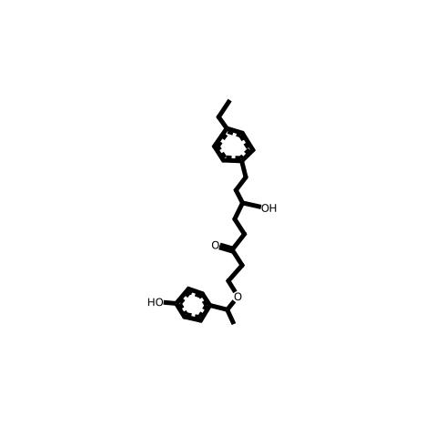 CCc1ccc(CCC(O)CCC(=O)CCOC(C)c2ccc(O)cc2)cc1